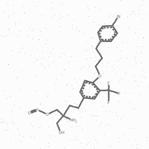 NC(CO)(CCc1ccc(OCCCc2ccc(Br)cc2)c(C(F)(F)F)c1)COP=O